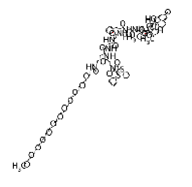 CCC(=O)O[C@]1(C(=O)COCNC(=O)CNC(=O)[C@H](Cc2ccccc2)NC(=O)CNC(=O)CNC(=O)[C@H](CCCCNC(=O)CCOCCOCCOCCOCCOCCOCCOCCOCCOCCOCCOCCOC)NC(=O)CCN2C(=O)C(Sc3ccccc3)=C(Sc3ccccc3)C2=O)[C@@H](C)CC2[C@@H]3CCC4=CC(=O)C=C[C@]4(C)[C@@]3(Cl)[C@@H](O)C[C@@]21C